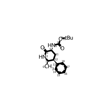 C[C@H]1NC(=O)[C@H](NC(=O)OC(C)(C)C)C[C@H]1c1ccccc1